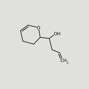 C=CCC(O)C1CCC=CO1